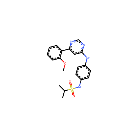 COc1ccccc1-c1cc(Nc2ccc(NS(=O)(=O)C(C)C)cc2)ncn1